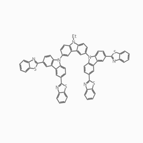 CCn1c2ccc(-n3c4ccc(-c5nc6ccccc6s5)cc4c4cc(-c5nc6ccccc6s5)ccc43)cc2c2cc(-n3c4ccc(-c5nc6ccccc6s5)cc4c4cc(-c5nc6ccccc6s5)ccc43)ccc21